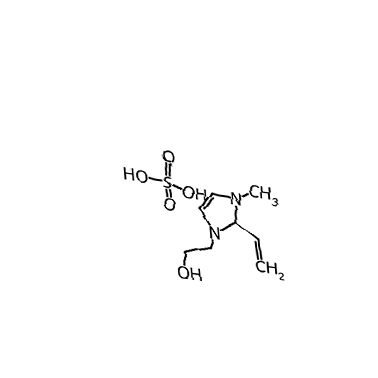 C=CC1N(C)C=CN1CCO.O=S(=O)(O)O